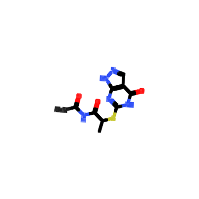 CNC(=O)NC(=O)C(C)Sc1nc2[nH]ncc2c(=O)[nH]1